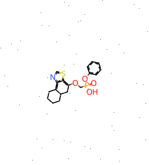 O=P(O)(COC1=c2scnc2=C2CCCCC2C1)Oc1ccccc1